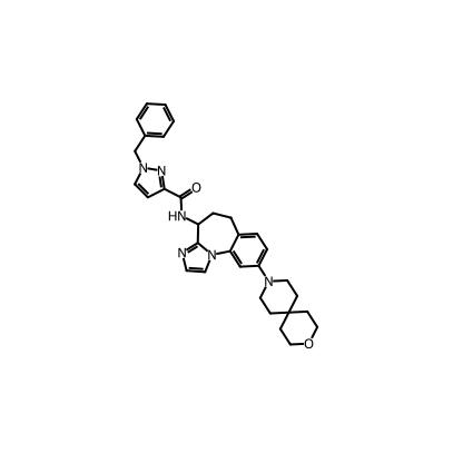 O=C(NC1CCc2ccc(N3CCC4(CCOCC4)CC3)cc2-n2ccnc21)c1ccn(Cc2ccccc2)n1